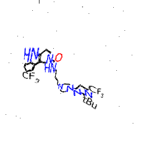 CC(C)(C)c1nc(N2CCN(CCCCNC(=O)N3CCc4[nH]c5ccc(C(F)(F)F)cc5c4C3)CC2)cc(C(F)(F)F)n1